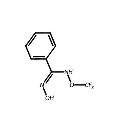 ON=C(NOC(F)(F)F)c1ccccc1